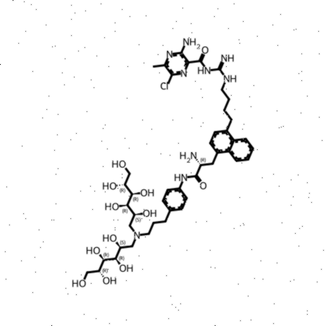 Cc1nc(N)c(C(=O)NC(=N)NCCCCc2ccc(C[C@@H](N)C(=O)Nc3ccc(CCCN(C[C@H](O)[C@@H](O)[C@H](O)[C@H](O)CO)C[C@H](O)[C@@H](O)[C@H](O)[C@H](O)CO)cc3)c3ccccc23)nc1Cl